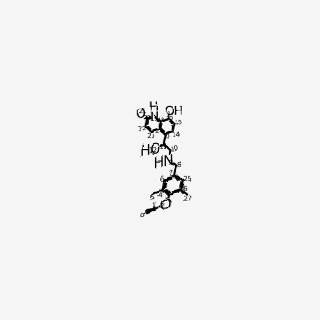 C#COc1c(C)cc(CNCC(O)c2ccc(O)c3[nH]c(=O)ccc23)cc1C